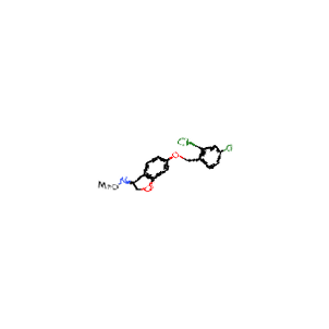 CON=C1COc2cc(OCc3ccc(Cl)cc3Cl)ccc21